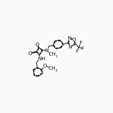 COc1ccccc1CNc1c(N(C)Cc2ccc(-c3noc(C(F)(F)F)n3)cc2)c(=O)c1=O